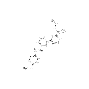 COc1ccc(C(=O)Nc2cc(-c3ccnc(N(C)CCO)c3)ccn2)cc1